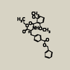 CCOC(=O)[C@H](Cc1ccc(C(=O)OCc2ccccc2)cc1)NC(=O)c1c(OC)cccc1OC